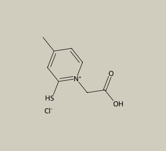 Cc1cc[n+](CC(=O)O)c(S)c1.[Cl-]